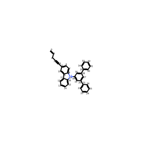 C=CCC#Cc1ccc2c(c1)c1ccccc1n2-c1cc(-c2ccccc2)cc(-c2ccccc2)c1